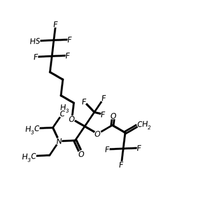 C=C(C(=O)OC(OCCCCC(F)(F)C(F)(F)S)(C(=O)N(CC)C(C)C)C(F)(F)F)C(F)(F)F